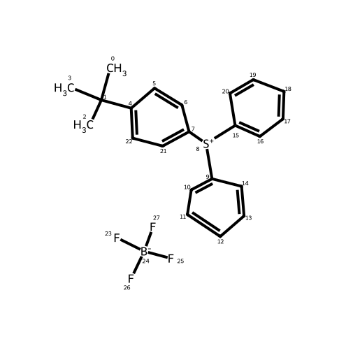 CC(C)(C)c1ccc([S+](c2ccccc2)c2ccccc2)cc1.F[B-](F)(F)F